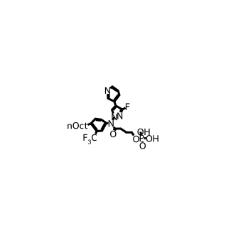 CCCCCCCCc1ccc(N(C(=O)CCCOP(=O)(O)O)n2cc(-c3cccnc3)c(F)n2)cc1C(F)(F)F